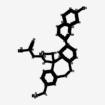 COc1ccc2c(c1)COc1ccc(-c3ccc4ccc(Cl)cc4n3)cc1C2(OC)SCCC(=O)O